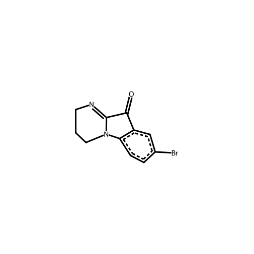 O=C1C2=NCCCN2c2ccc(Br)cc21